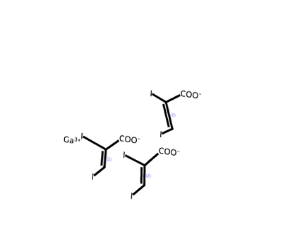 O=C([O-])/C(I)=C/I.O=C([O-])/C(I)=C/I.O=C([O-])/C(I)=C/I.[Ga+3]